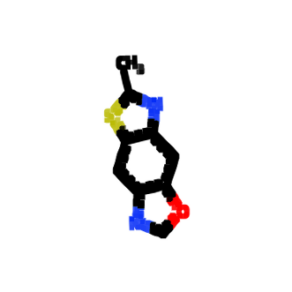 Cc1nc2cc3ocnc3cc2s1